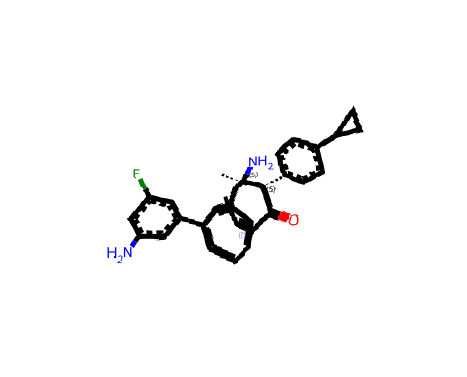 C/C=C\C(=O)[C@@H](c1ccc(C2CC2)cc1)[C@](C)(N)C1=CC(c2cc(N)cc(F)c2)=C=CC=C1